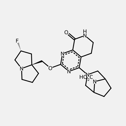 O=C1NCCc2c1nc(OC[C@@]13CCCN1C[C@H](F)C3)nc2N1CC2CCC(C1)N2C(=O)O